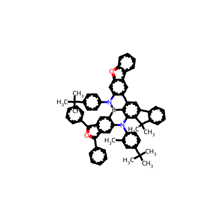 Cc1cc(C(C)(C)C)ccc1N1c2cc3c(-c4ccccc4)oc(-c4ccccc4)c3cc2B2c3c(cc4c(c31)C(C)(C)c1ccccc1-4)-c1cc3c(cc1N2c1ccc(C(C)(C)C)cc1)oc1ccccc13